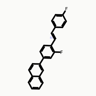 Fc1ccc(/C=C/c2ccc(-c3ccc4ccccc4c3)cc2F)cc1